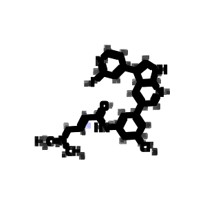 CN(C)C/C=C/C(=O)Nc1cc(-c2cnc3[nH]cc(-c4ccnc(F)c4)c3c2)cc(C(F)(F)F)c1